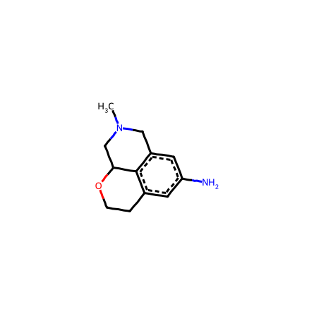 CN1Cc2cc(N)cc3c2C(C1)OCC3